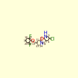 O=c1[nH]cc(Cl)cc1CN1CCC(COc2c(F)cccc2F)CC1